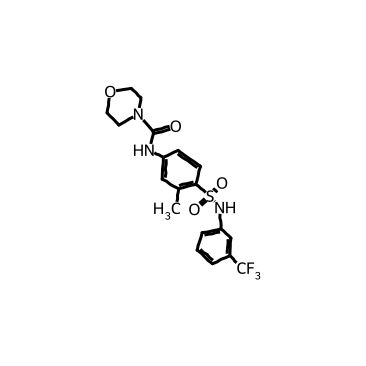 Cc1cc(NC(=O)N2CCOCC2)ccc1S(=O)(=O)Nc1cccc(C(F)(F)F)c1